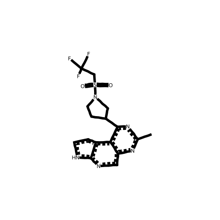 Cc1nc(C2CCN(S(=O)(=O)CC(F)(F)F)C2)c2c(cnc3[nH]ccc32)n1